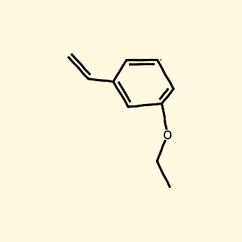 C=Cc1c[c]cc(OCC)c1